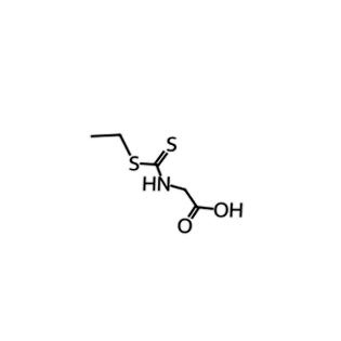 CCSC(=S)NCC(=O)O